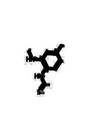 CNc1cc(C)ccc1NC=S